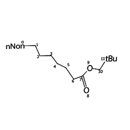 CCCCCCCCCCCCCCCC(=O)OCC(C)(C)C